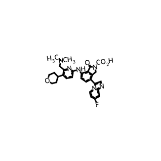 CN(C)Cc1nc(Nc2ccc(-c3cnc4cc(F)ccn34)c3c2C(=O)N(C(=O)O)C3)ccc1C1CCOCC1